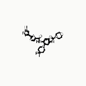 O=C(Nc1cc2oc(N3CCOCC3)nc2cc1N1CCC(F)(F)CC1)c1csc(-c2cn[nH]c2)n1